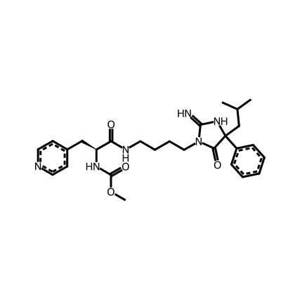 COC(=O)N[C@@H](Cc1ccncc1)C(=O)NCCCCN1C(=N)NC(CC(C)C)(c2ccccc2)C1=O